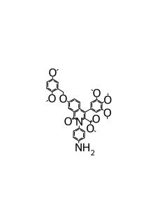 COC(=O)c1c(-c2cc(OC)c(OC)c(OC)c2)c2ccc(OCc3cc(OC)ccc3OC)cc2c(=O)n1-c1ccc(N)cc1